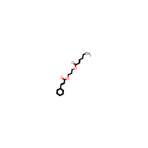 CCCC=CC(=O)OCCCOC(=O)C=Cc1ccccc1